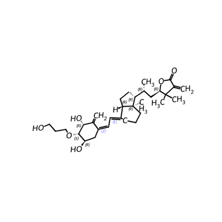 C=C1/C(=C\C=C2/CCC[C@]3(C)[C@@H]([C@H](C)C[C@H]4OC(=O)C(=C)C4(C)C)CC[C@@H]23)C[C@@H](O)[C@H](OCCCO)[C@@H]1O